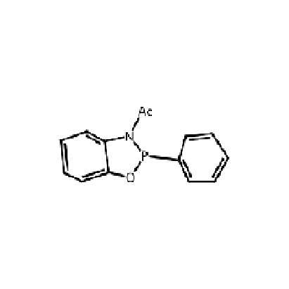 CC(=O)N1c2ccccc2OP1c1ccccc1